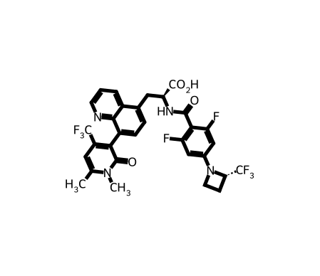 Cc1cc(C(F)(F)F)c(-c2ccc(C[C@H](NC(=O)c3c(F)cc(N4CC[C@H]4C(F)(F)F)cc3F)C(=O)O)c3cccnc23)c(=O)n1C